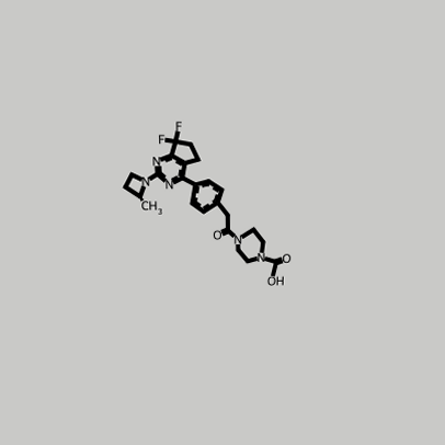 C[C@H]1CCN1c1nc(-c2ccc(CC(=O)N3CCN(C(=O)O)CC3)cc2)c2c(n1)C(F)(F)CC2